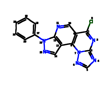 Clc1nc2ncnn2c2c1cnc1c2cnn1-c1ccccc1